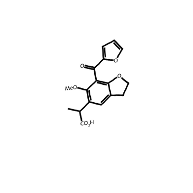 COc1c(C(C)C(=O)O)cc2c(c1C(=O)c1ccco1)OCC2